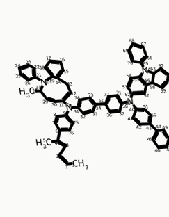 C/C=C\C=C(/C)c1ccc(N(C2=C/Cc3ccccc3N(c3ccccc3)C(C)/C=C\2)c2ccc(-c3ccc(N(c4ccc(-c5ccccc5)cc4)c4ccc5c(c4)C4C=CC=CC4N5c4ccccc4)cc3)cc2)cc1